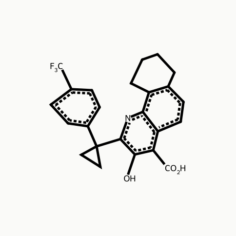 O=C(O)c1c(O)c(C2(c3ccc(C(F)(F)F)cc3)CC2)nc2c3c(ccc12)CCCC3